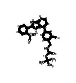 CC(C)(C)OC(=O)NCc1ccc(-c2ccnc3[nH]c(-c4ccccc4[N+](=O)[O-])nc23)cc1F